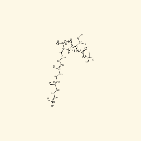 CCC(C)[C@@H](NC(=O)OC(C)(C)C)C(=O)N[C@@H](CSC/C=C(\C)CC/C=C(\C)CCC=C(C)C)C(=O)O